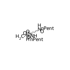 C=CC(=O)NC(=O)[C@H](CCCCNC(=O)CCCCC)NC(=O)CCCCC